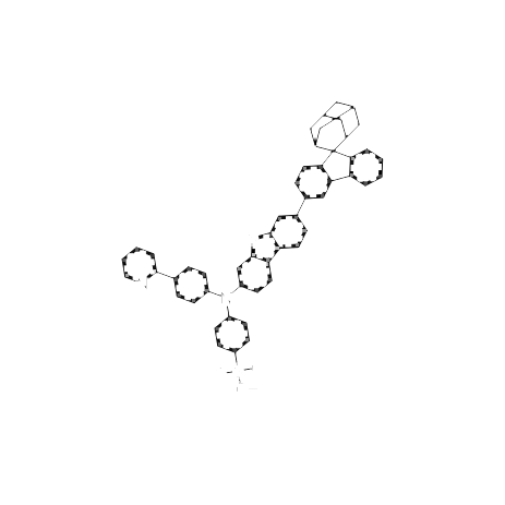 CS(C)(C)c1ccc(N(c2ccc(-c3ccccn3)cc2)c2ccc3c(c2)sc2cc(-c4ccc5c(c4)-c4ccccc4C54C5CC6CC(C5)CC4C6)ccc23)cc1